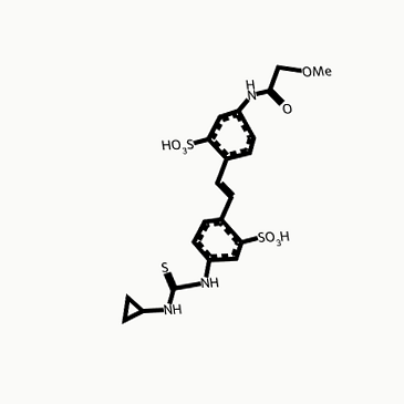 COCC(=O)Nc1ccc(/C=C/c2ccc(NC(=S)NC3CC3)cc2S(=O)(=O)O)c(S(=O)(=O)O)c1